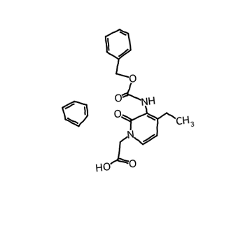 CCc1ccn(CC(=O)O)c(=O)c1NC(=O)OCc1ccccc1.c1ccccc1